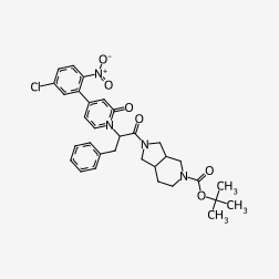 CC(C)(C)OC(=O)N1CCC2CN(C(=O)C(Cc3ccccc3)n3ccc(-c4cc(Cl)ccc4[N+](=O)[O-])cc3=O)CC2C1